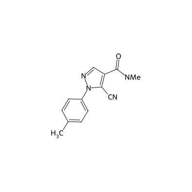 CNC(=O)c1cnn(-c2ccc(C)cc2)c1C#N